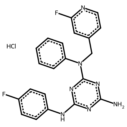 Cl.Nc1nc(Nc2ccc(F)cc2)nc(N(Cc2ccnc(F)c2)c2ccccc2)n1